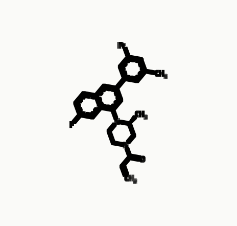 C=CC(=O)N1CCN(c2cc(-c3cc(C)[c]c(C(C)C)c3)cc3ccc(F)cc23)[C@@H](C)C1